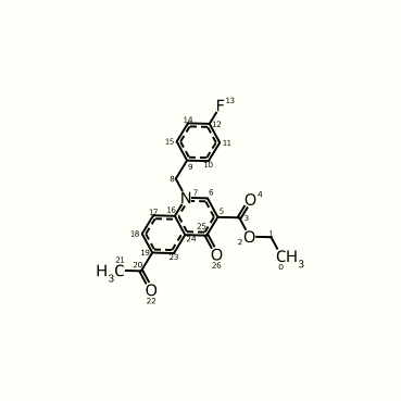 CCOC(=O)c1cn(Cc2ccc(F)cc2)c2ccc(C(C)=O)cc2c1=O